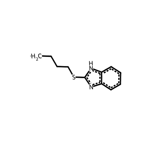 [CH2]CCCSc1nc2ccccc2[nH]1